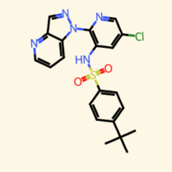 CC(C)(C)c1ccc(S(=O)(=O)Nc2cc(Cl)cnc2-n2ncc3ncccc32)cc1